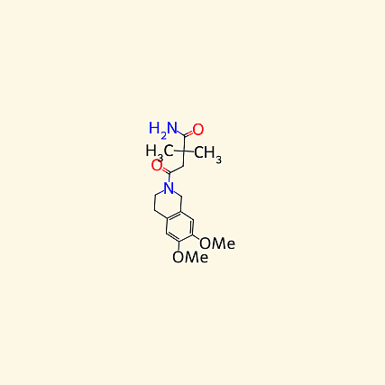 COc1cc2c(cc1OC)CN(C(=O)CC(C)(C)C(N)=O)CC2